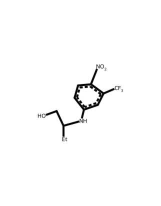 CCC(CO)Nc1ccc([N+](=O)[O-])c(C(F)(F)F)c1